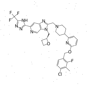 Cc1c(Cl)ccc(COc2cccc(C3CCN(Cc4nc5cc(-c6nnc(C(F)(F)F)[nH]6)ncc5n4C[C@@H]4CCO4)CC3)n2)c1F